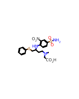 CN(CCC(CSc1ccccc1)Nc1ccc(S(N)(=O)=O)cc1[N+](=O)[O-])CC(=O)O